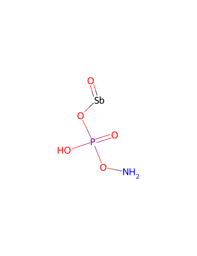 NOP(=O)(O)[O][Sb]=[O]